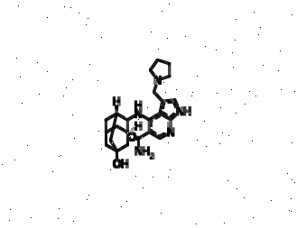 NC(=O)c1cnc2[nH]cc(CN3CCCC3)c2c1NC1[C@@H]2CC3C[C@H]1CC(O)(C3)C2